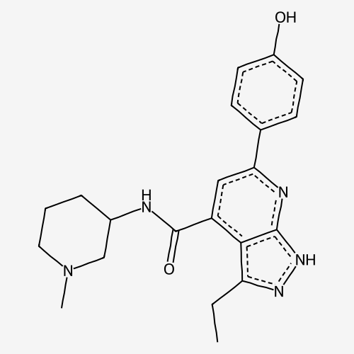 CCc1n[nH]c2nc(-c3ccc(O)cc3)cc(C(=O)NC3CCCN(C)C3)c12